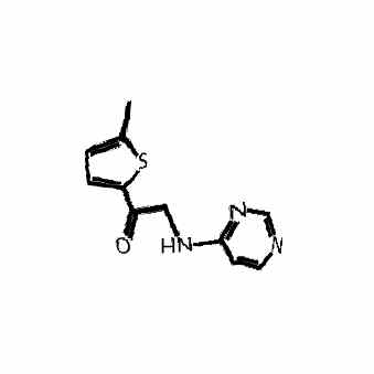 Cc1ccc(C(=O)CNc2ccncn2)s1